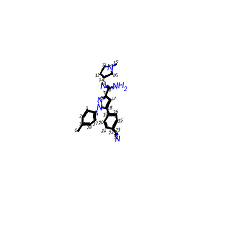 Cc1ccc(-n2nc(C(N)=N[C@@H]3CCN(C)C3)cc2-c2ccc(C#N)cc2)cc1